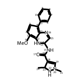 COc1ccc(-c2ccccc2)c2c1NC(NC(=O)C1=CN(C)NC1C)C=N2